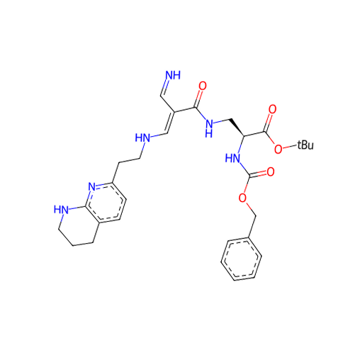 CC(C)(C)OC(=O)[C@H](CNC(=O)/C(C=N)=C/NCCc1ccc2c(n1)NCCC2)NC(=O)OCc1ccccc1